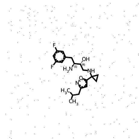 CC(C)Cc1cc(C2(NC[C@@H](O)[C@@H](N)Cc3cc(F)cc(F)c3)CC2)on1